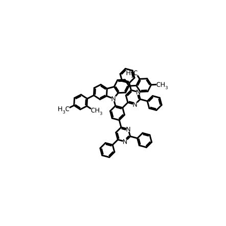 Cc1ccc(-c2ccc3c4ccc(-c5ccc(C)cc5C)cc4n(-c4ccc(-c5cc(-c6ccccc6)nc(-c6ccccc6)n5)cc4-c4cc(-c5ccccc5)nc(-c5ccccc5)n4)c3c2)c(C)c1